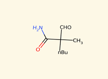 CCCCC(C)(C=O)C(N)=O